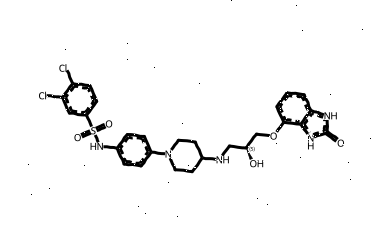 O=c1[nH]c2cccc(OC[C@@H](O)CNC3CCN(c4ccc(NS(=O)(=O)c5ccc(Cl)c(Cl)c5)cc4)CC3)c2[nH]1